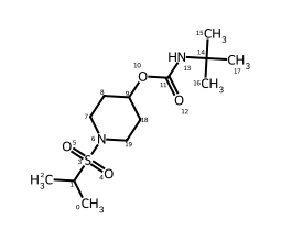 CC(C)S(=O)(=O)N1CCC(OC(=O)NC(C)(C)C)CC1